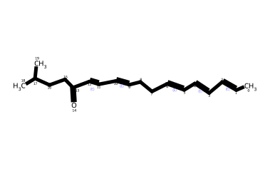 C/C=C/C=C/C=C/CC/C=C/C=C/C(=O)CCC(C)C